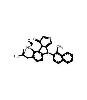 Cc1c(N2C3=CN=CC(=O)C3c3c2ccc(CC(=O)O)c3NC=O)ccc2ccccc12